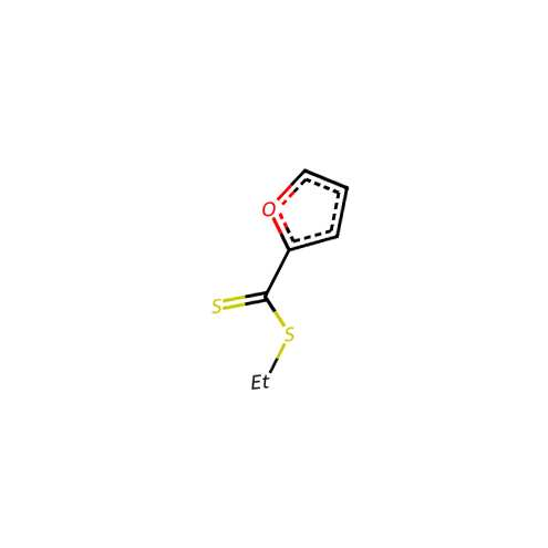 CCSC(=S)c1ccco1